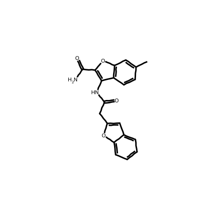 Cc1ccc2c(NC(=O)Cc3cc4ccccc4o3)c(C(N)=O)oc2c1